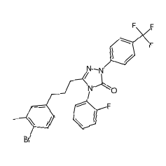 Cc1cc(CCCc2nn(-c3ccc(C(F)(F)F)cc3)c(=O)n2-c2ccccc2F)ccc1Br